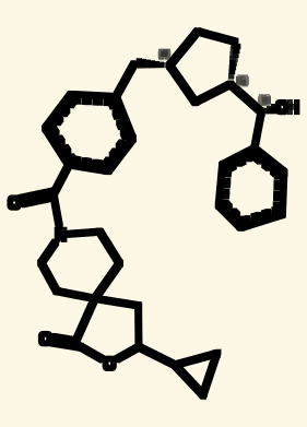 O=C(c1ccc(C[C@@H]2CC[C@H]([C@H](O)c3ccccc3)C2)cc1)N1CCC2(CC1)CC(C1CC1)OC2=O